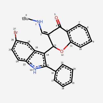 CC(C)(C)N/C=C1\C(=O)c2ccccc2OC1c1c(-c2ccccc2)[nH]c2ccc(Br)cc12